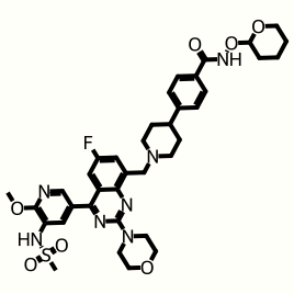 COc1ncc(-c2nc(N3CCOCC3)nc3c(CN4CCC(c5ccc(C(=O)NOC6CCCCO6)cc5)CC4)cc(F)cc23)cc1NS(C)(=O)=O